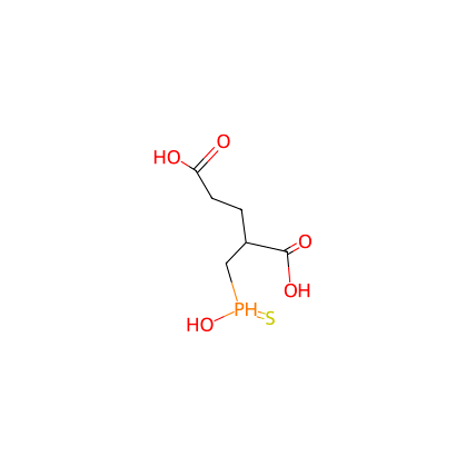 O=C(O)CCC(C[PH](O)=S)C(=O)O